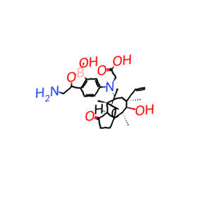 C=C[C@]1(C)C[C@@H](N(CC(=O)O)c2ccc3c(c2)B(O)OC3CN)[C@]2(C)[C@H](C)CC[C@]3(CCC(=O)[C@H]32)[C@@H](C)[C@@H]1O